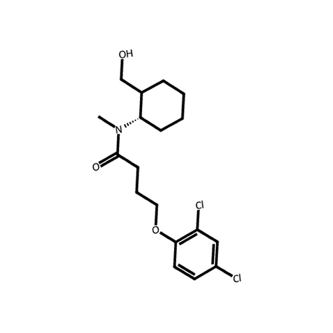 CN(C(=O)CCCOc1ccc(Cl)cc1Cl)[C@H]1CCCCC1CO